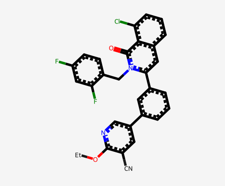 CCOc1ncc(-c2cccc(-c3cc4cccc(Cl)c4c(=O)n3Cc3ccc(F)cc3F)c2)cc1C#N